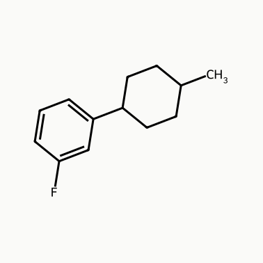 CC1CCC(c2cccc(F)c2)CC1